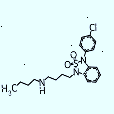 CCCCNCCCCN1c2ccccc2N(c2ccc(Cl)cc2)S1(=O)=O